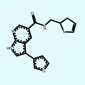 O=C(NCC1CC=CS1)c1cnc2[nH]cc(-c3ccoc3)c2c1